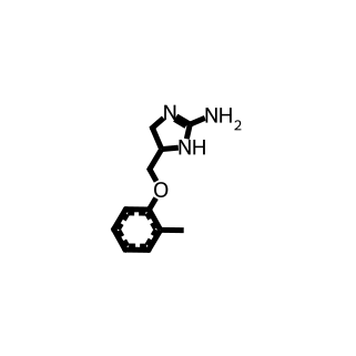 Cc1ccccc1OCC1CN=C(N)N1